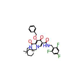 C[C@@]12CCC[C@]3(Cn4cc(C(=O)NCc5c(F)cc(F)cc5F)c(=O)c(OCc5ccccc5)c4C(=O)N3C1)C2